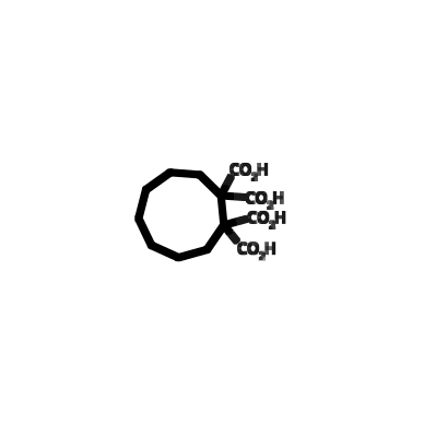 O=C(O)C1(C(=O)O)CCCCCCCC1(C(=O)O)C(=O)O